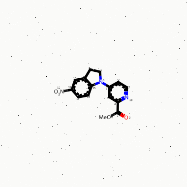 COC(=O)c1cc(N2CCc3cc([N+](=O)[O-])ccc32)ccn1